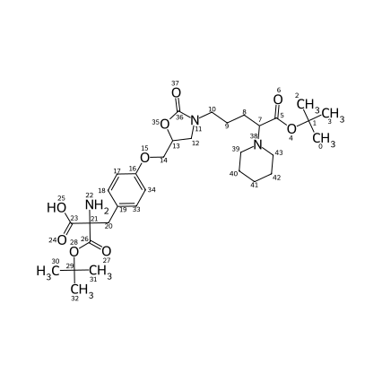 CC(C)(C)OC(=O)C(CCCN1CC(COc2ccc(CC(N)(C(=O)O)C(=O)OC(C)(C)C)cc2)OC1=O)N1CCCCC1